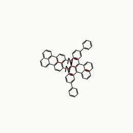 c1ccc(-c2ccc(N(c3ccc(-c4cccc5cccc(-c6ccc(N(c7ccc(-c8ccccc8)cc7)c7cccc(-c8ccccc8)c7)cc6)c45)cc3)c3cccc(-c4ccccc4)c3)cc2)cc1